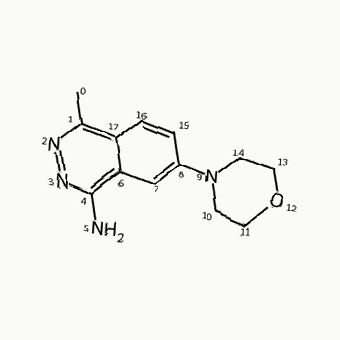 Cc1nnc(N)c2cc(N3CCOCC3)ccc12